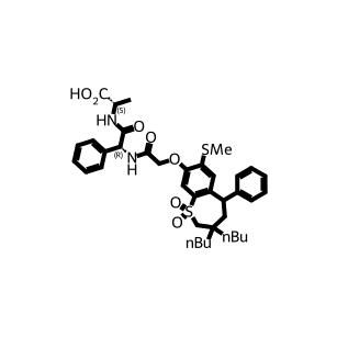 CCCCC1(CCCC)CC(c2ccccc2)c2cc(SC)c(OCC(=O)N[C@@H](C(=O)N[C@@H](C)C(=O)O)c3ccccc3)cc2S(=O)(=O)C1